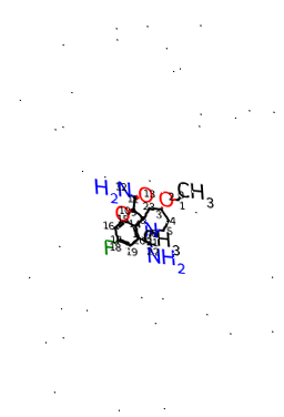 CCOC1CCN(C)C(C(=O)C(N)=O)(c2ccc(F)cc2CN)C1